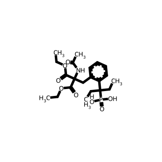 CCOC(=O)C(Cc1ccccc1C(CC)(CC)P(=O)(O)O)(NC(C)=O)C(=O)OCC